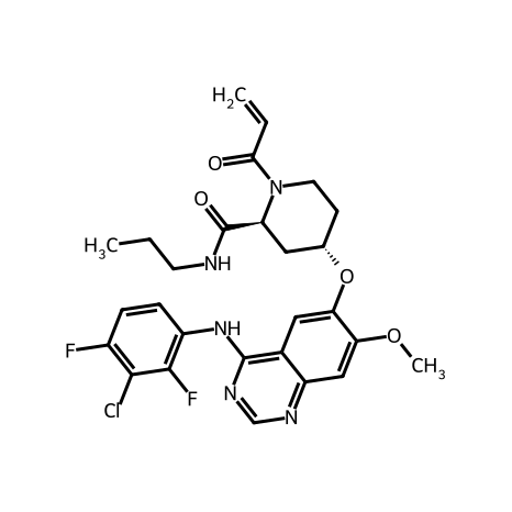 C=CC(=O)N1CC[C@H](Oc2cc3c(Nc4ccc(F)c(Cl)c4F)ncnc3cc2OC)C[C@H]1C(=O)NCCC